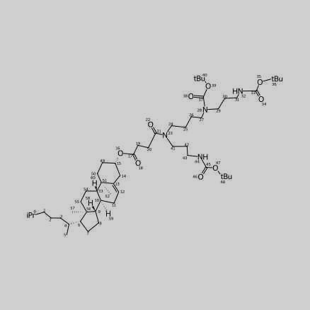 CC(C)CCCC(C)[C@H]1CC[C@H]2[C@@H]3CC=C4C[C@@H](OC(=O)CCC(=O)N(CCCCN(CCCNC(=O)OC(C)(C)C)C(=O)OC(C)(C)C)CCCNC(=O)OC(C)(C)C)CC[C@]4(C)[C@H]3CC[C@]12C